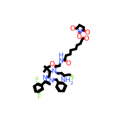 CC(C)(C)[C@H](c1nc(-c2cc(F)ccc2F)cn1Cc1ccccc1)N(CC[C@H](N)CF)C(=O)CNC(=O)CCCCCCC(=O)ON1C(=O)CCC1=O